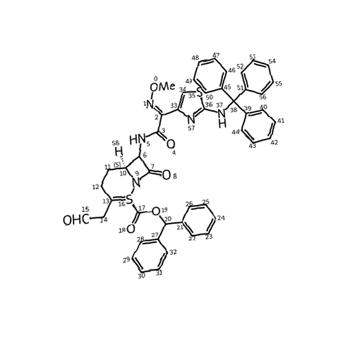 CON=C(C(=O)NC1C(=O)N2[C@H]1CCC(CC=O)=S2C(=O)OC(c1ccccc1)c1ccccc1)c1csc(NC(c2ccccc2)(c2ccccc2)c2ccccc2)n1